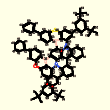 CC(C)(C)c1cc(-c2cc3c4c(c2)N(c2c(-c5ccccc5)cccc2-c2ccccc2)c2cc5c(cc2B4c2ccc(-c4ccccc4)cc2O3)B2c3ccc(-c4ccccc4)cc3Sc3cc(-c4cc(C(C)(C)C)cc(C(C)(C)C)c4)cc(c32)N5c2ccccc2)cc(C(C)(C)C)c1